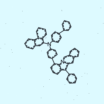 c1ccc(-c2ccc(N(c3ccc(-c4cccc5c(-c6ccccc6)c6cc7ccccc7cn6c45)cc3)c3cc4ccccc4c4ccccc34)cc2)cc1